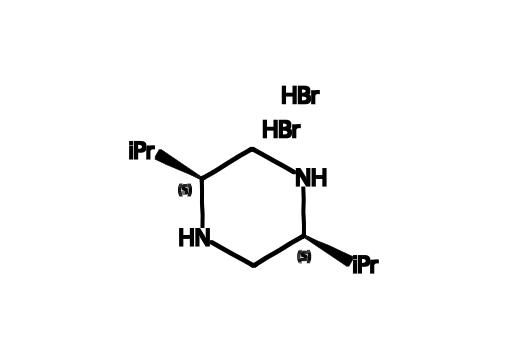 Br.Br.CC(C)[C@H]1CN[C@@H](C(C)C)CN1